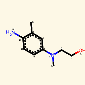 Cc1cc(N(C)CCO)ccc1N